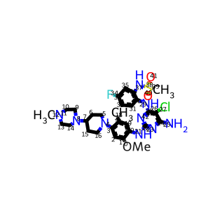 COc1cc(N2CCC(N3CCN(C)CC3)CC2)c(C)cc1Nc1nc(N)c(Cl)c(Nc2ccc(F)cc2NS(C)(=O)=O)n1